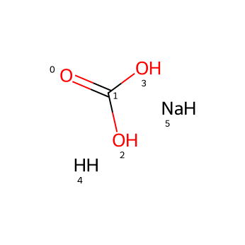 O=C(O)O.[HH].[NaH]